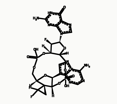 Nc1nc2c(ncn2[C@@H]2O[C@@H]3COP(=O)(O)O[C@H]4[C@H](c5cnn6c(N)ncnc56)O[C@H](COP(=O)(O)O[C@H]3[C@H]2F)[C@]42CC2(F)F)c(=O)[nH]1